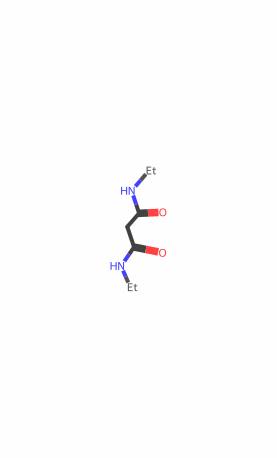 CCNC(=O)CC(=O)NCC